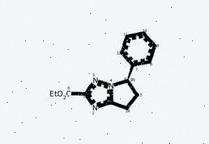 CCOC(=O)c1nc2n(n1)[C@@H](c1ccccc1)CC2